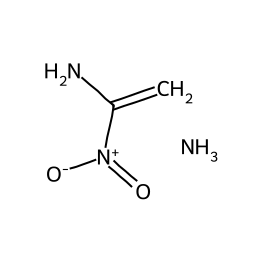 C=C(N)[N+](=O)[O-].N